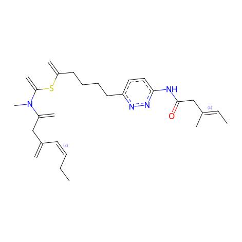 C=C(/C=C\CC)CC(=C)N(C)C(=C)SC(=C)CCCCc1ccc(NC(=O)C/C(C)=C/C)nn1